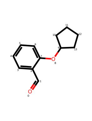 O=Cc1ccccc1OC1CCCC1